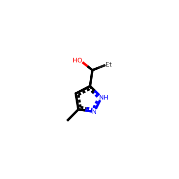 CCC(O)c1cc(C)n[nH]1